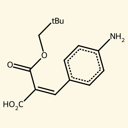 CC(C)(C)COC(=O)C(=Cc1ccc(N)cc1)C(=O)O